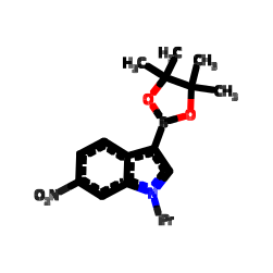 CC(C)n1cc(B2OC(C)(C)C(C)(C)O2)c2ccc([N+](=O)[O-])cc21